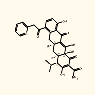 CN(C)[C@@H]1C(O)=C(C(N)=O)C(=O)[C@@]2(O)C(O)=C3C(=O)c4c(O)ccc(C(=O)Cc5ccccn5)c4C[C@@H]3C[C@H]12